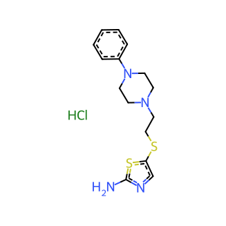 Cl.Nc1ncc(SCCN2CCN(c3ccccc3)CC2)s1